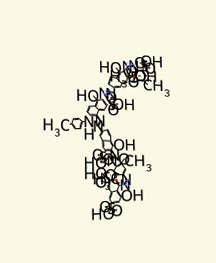 COc1cc(/N=N\c2cc(S(=O)(=O)O)cc3cc(S(=O)(=O)O)cc(O)c23)c(C)cc1N=Nc1c(S(=O)(=O)O)cc2cc(N=Nc3c(Nc4ccc(C)cc4)ccc4c(O)c(/N=N/c5ccc6c(O)c(/N=N\c7c(C)cc(C)cc7S(=O)(=O)O)c(S(=O)(=O)O)cc6c5)c(S(=O)(=O)O)cc34)ccc2c1O